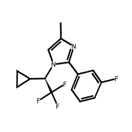 Cc1cn([C@H](C2CC2)C(F)(F)F)c(-c2cccc(F)c2)n1